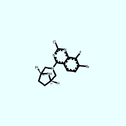 Fc1c(Br)ccc2c(N3C[C@H]4CC[C@@H](C3)N4)nc(Cl)nc12